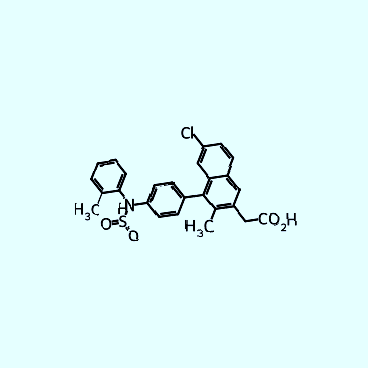 Cc1ccccc1N(c1ccc(-c2c(C)c(CC(=O)O)cc3ccc(Cl)cc23)cc1)[SH](=O)=O